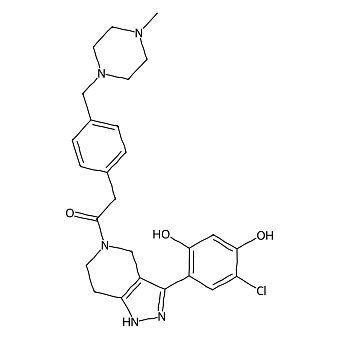 CN1CCN(Cc2ccc(CC(=O)N3CCc4[nH]nc(-c5cc(Cl)c(O)cc5O)c4C3)cc2)CC1